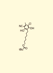 Cc1c(Cl)c(O)c(CCCCCCCOC(=O)C(C)(C)C)c(O)c1C#N